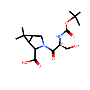 CC(C)(C)OC(=O)N[C@@H](CO)C(=O)N1CC2C(C1C(=O)O)C2(C)C